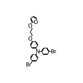 Brc1ccc(N(c2ccc(Br)cc2)c2ccc(OCCCOc3ccco3)cc2)cc1